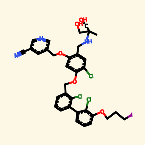 CC(CO)(CO)NCc1cc(Cl)c(OCc2cccc(-c3cccc(OCCCI)c3Cl)c2Cl)cc1OCc1cncc(C#N)c1